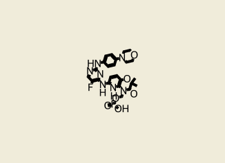 CC1(C)Oc2ccc(Nc3nc(Nc4ccc(N5CCOCC5)cc4)ncc3F)nc2N(CO[PH](=O)O)C1=O